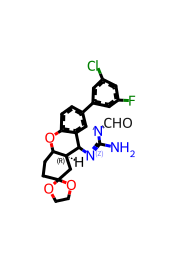 CN(C=O)/C(N)=N\C1c2cc(-c3cc(F)cc(Cl)c3)ccc2OC2CCC3(C[C@@H]21)OCCO3